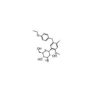 CCOc1ccc(Cc2cc([C@@H]3S[C@H](CO)[C@@H](O)[C@H]([18F])[C@H]3O)c(OC)cc2C)cc1